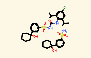 CC(C)c1cc(Cl)cc(C(C)C)c1NC(=O)NS(=O)(=O)c1cccc(C2(O)CCCCC2)c1.NS(=O)(=O)c1cccc(C2(O)CCCCC2)c1